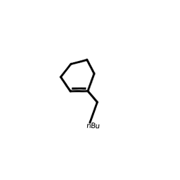 [CH2]CCCCC1=CCCCC1